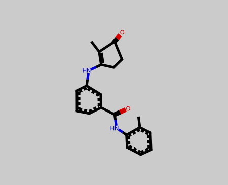 CC1=C(Nc2cccc(C(=O)Nc3ccccc3C)c2)CCC1=O